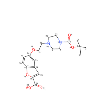 CC(C)(C)OC(=O)N1CCN(CCOc2ccc3oc(C(=O)O)cc3c2)CC1